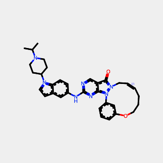 CC(C)N1CCC(n2ccc3cc(Nc4ncc5c(=O)n6n(c5n4)-c4cccc(c4)OCCC/C=C\C6)ccc32)CC1